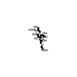 CCCCCCCCCCCCOCC(O)C[C@]1([C@@H](O)CO)OC(=O)C(O)=C1OCC(CO)OCCCCCCCC